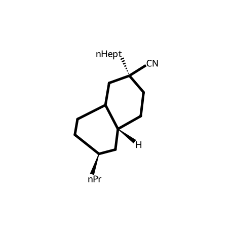 CCCCCCC[C@]1(C#N)CC[C@@H]2C[C@@H](CCC)CCC2C1